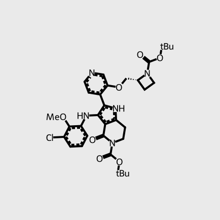 COc1c(Cl)cccc1Nc1c(-c2ccncc2OC[C@H]2CCN2C(=O)OC(C)(C)C)[nH]c2c1C(=O)N(C(=O)OC(C)(C)C)CC2